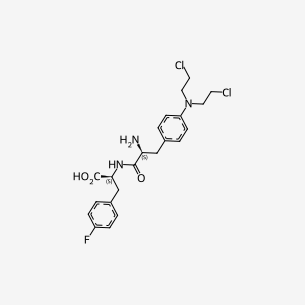 N[C@@H](Cc1ccc(N(CCCl)CCCl)cc1)C(=O)N[C@@H](Cc1ccc(F)cc1)C(=O)O